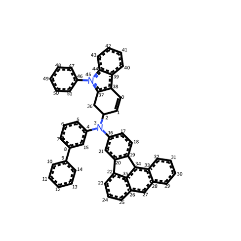 C1=CC(N(c2cccc(-c3ccccc3)c2)c2ccc3c(c2)-c2cccc4cc5ccccc5c-3c24)Cc2c1c1ccccc1n2-c1ccccc1